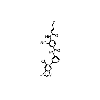 Cn1cnc2cc(-c3cccc(NC(=O)c4ccc(NC(=O)/C=C/CCl)c(C#N)c4)c3)c(Cl)cc21